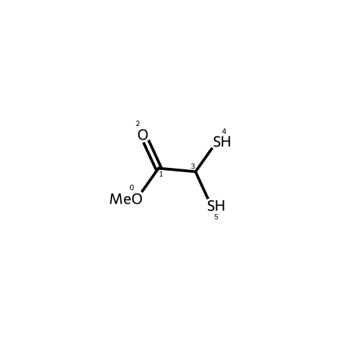 COC(=O)C(S)S